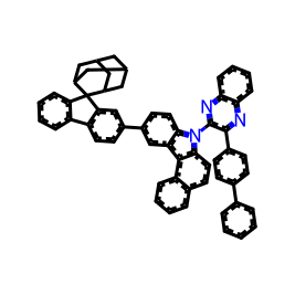 c1ccc(-c2ccc(-c3nc4ccccc4nc3-n3c4ccc(-c5ccc6c(c5)C5(c7ccccc7-6)C6CC7CC(C6)CC5C7)cc4c4c5ccccc5ccc43)cc2)cc1